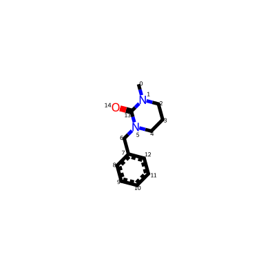 CN1CCCN(Cc2ccccc2)C1=O